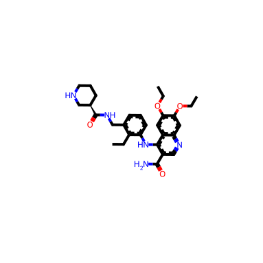 CCOc1cc2ncc(C(N)=O)c(Nc3cccc(CNC(=O)[C@@H]4CCCNC4)c3CC)c2cc1OCC